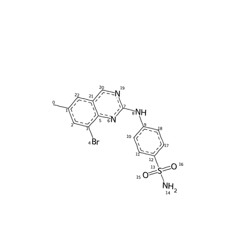 Cc1cc(Br)c2nc(Nc3ccc(S(N)(=O)=O)cc3)ncc2c1